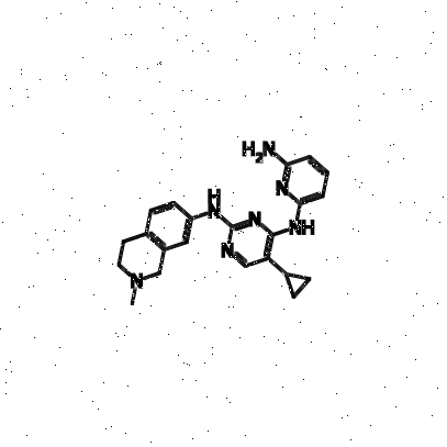 CN1CCc2ccc(Nc3ncc(C4CC4)c(Nc4cccc(N)n4)n3)cc2C1